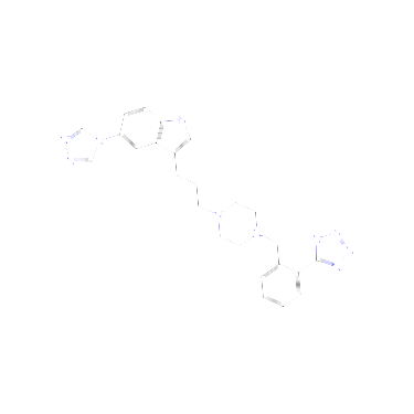 c1ccc(-c2nnn[nH]2)c(CN2CCN(CCCc3c[nH]c4ccc(-n5cnnc5)cc34)CC2)c1